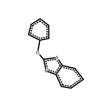 [c]1cccc(Oc2nc3ccccc3s2)c1